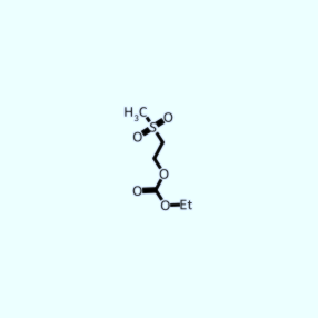 CCOC(=O)OCCS(C)(=O)=O